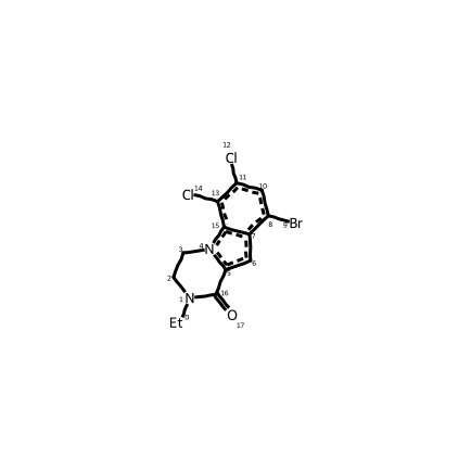 CCN1CCn2c(cc3c(Br)cc(Cl)c(Cl)c32)C1=O